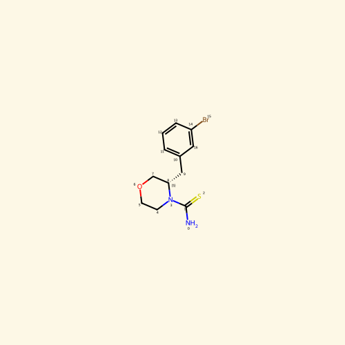 NC(=S)N1CCOC[C@@H]1Cc1cccc(Br)c1